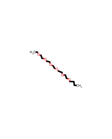 CCCCOCCOCCOCCOCCOCCOCC